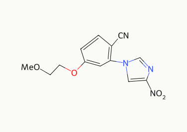 COCCOc1ccc(C#N)c(-n2cnc([N+](=O)[O-])c2)c1